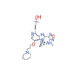 CCn1c(-c2nonc2N)nc2c(C#CC(C)(C)O)ncc(OCCCN3CCCCC3)c21